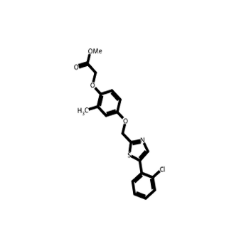 COC(=O)COc1ccc(OCc2ncc(-c3ccccc3Cl)s2)cc1C